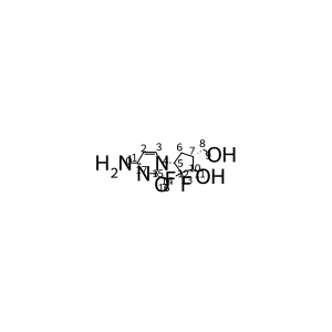 Nc1ccn([C@@H]2C[C@H](CO)[C@@H](O)C2(F)F)c(=O)n1